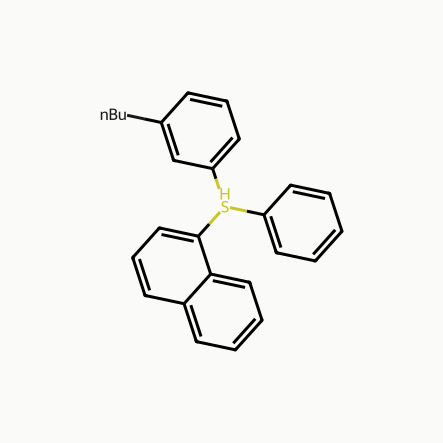 CCCCc1cccc([SH](c2ccccc2)c2cccc3ccccc23)c1